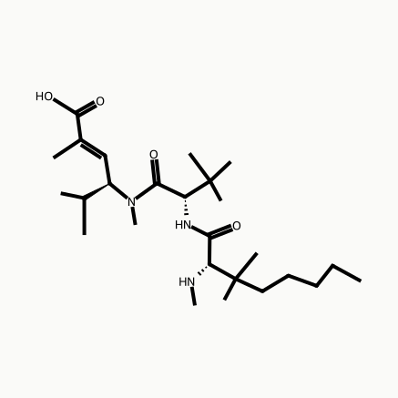 CCCCCC(C)(C)[C@H](NC)C(=O)N[C@H](C(=O)N(C)[C@H](/C=C(\C)C(=O)O)C(C)C)C(C)(C)C